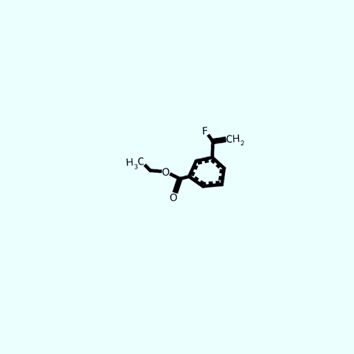 C=C(F)c1cccc(C(=O)OCC)c1